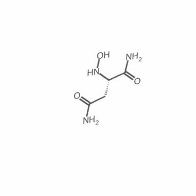 NC(=O)C[C@H](NO)C(N)=O